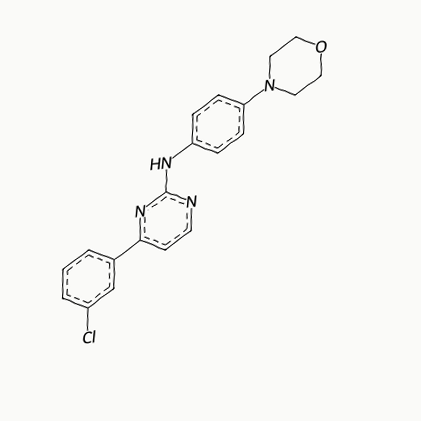 Clc1cccc(-c2ccnc(Nc3ccc(N4CCOCC4)cc3)n2)c1